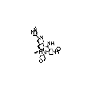 C=Cc1cc(C(=N)C2=C(NC3CCOCC3)CCN(C(C)=O)C2)c2cnc(-c3cnn(C)c3)cc2c1